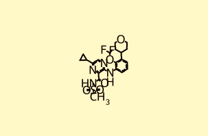 CS(=O)(=O)NC(=O)c1nc(C2CC2)cnc1Nc1cccc(C2CCOCC2)c1OC(F)F